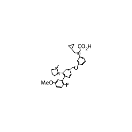 COc1ccc(F)c(-c2ccc(COc3cccc([C@H](CC(=O)O)CC4CC4)c3)cc2[C@@H]2CCC[C@H]2C)c1